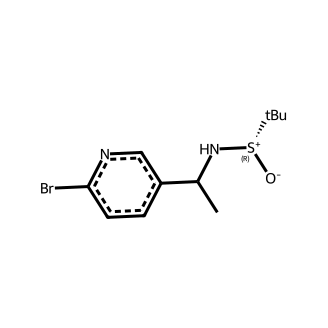 CC(N[S@@+]([O-])C(C)(C)C)c1ccc(Br)nc1